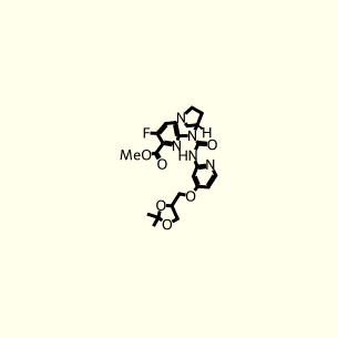 COC(=O)c1nc2c(cc1F)N1CC[C@@H](C1)N2C(=O)Nc1cc(OCC2COC(C)(C)O2)ccn1